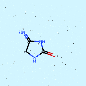 N=C1CNC(=O)N1